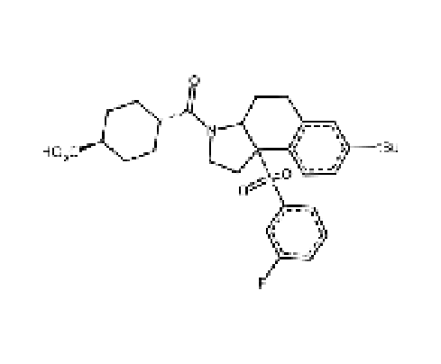 CC(C)(C)c1ccc2c(c1)CCC1N(C(=O)[C@H]3CC[C@H](C(=O)O)CC3)CCC21S(=O)(=O)c1cccc(F)c1